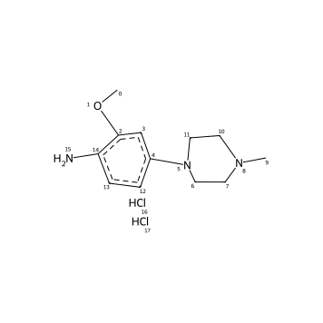 COc1cc(N2CCN(C)CC2)ccc1N.Cl.Cl